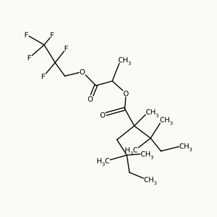 CCC(C)(C)CC(C)(C(=O)OC(C)C(=O)OCC(F)(F)C(F)(F)F)C(C)(C)CC